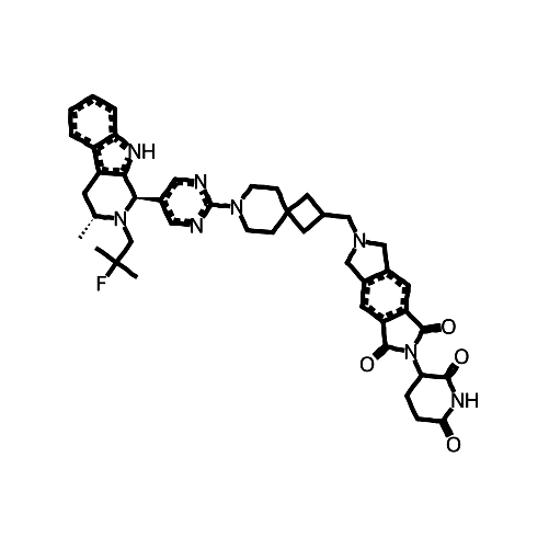 C[C@@H]1Cc2c([nH]c3ccccc23)[C@@H](c2cnc(N3CCC4(CC3)CC(CN3Cc5cc6c(cc5C3)C(=O)N(C3CCC(=O)NC3=O)C6=O)C4)nc2)N1CC(C)(C)F